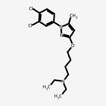 CCN(CC)CCCCOc1cc(C)n(-c2ccc(Cl)c(Cl)c2)n1